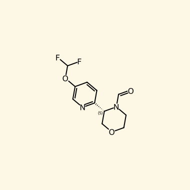 O=CN1CCOC[C@@H]1c1ccc(OC(F)F)cn1